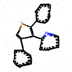 c1ccc(C2=C(c3ccccn3)C(c3ccccc3)CS2)cc1